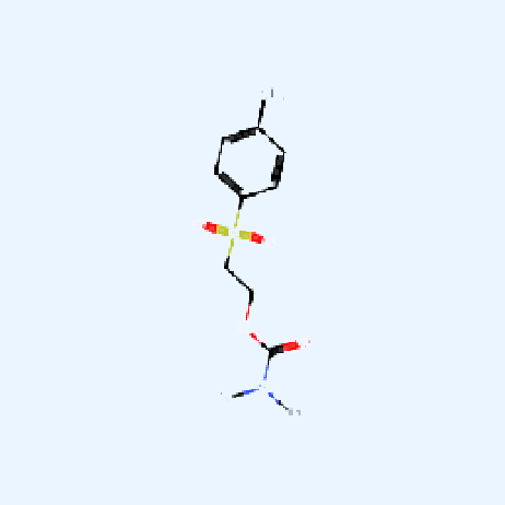 Cc1ccc(S(=O)(=O)CCOC(=O)N(C(C)C)C(C)C)cc1